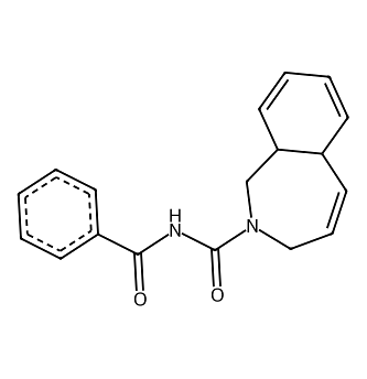 O=C(NC(=O)N1CC=CC2C=CC=CC2C1)c1ccccc1